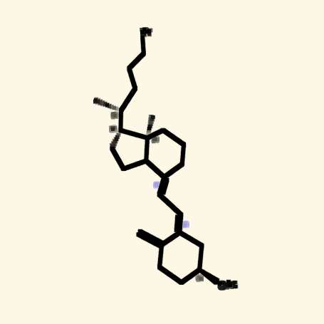 C=C1CC[C@H](OC(C)=O)C/C1=C/C=C1\CCC[C@@]2(C)C1CC[C@@H]2[C@H](C)CCCC(C)C